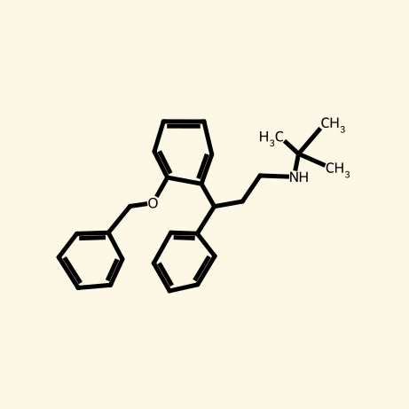 CC(C)(C)NCCC(c1ccccc1)c1ccccc1OCc1ccccc1